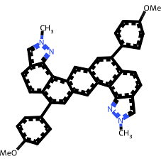 COc1ccc(-c2cc3cc4c(cc(-c5ccc(OC)cc5)c5ccc6cn(C)nc6c54)cc3c3c2ccc2cn(C)nc23)cc1